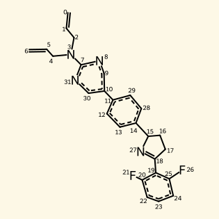 C=CCN(CC=C)c1ncc(-c2ccc(C3CCC(c4c(F)cccc4F)=N3)cc2)cn1